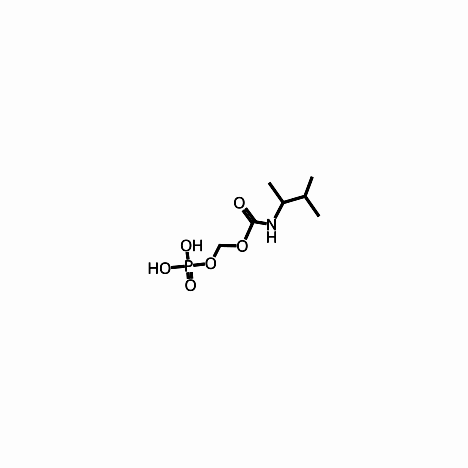 CC(C)C(C)NC(=O)OCOP(=O)(O)O